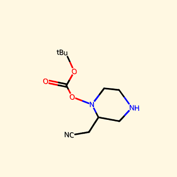 CC(C)(C)OC(=O)ON1CCNCC1CC#N